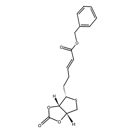 O=C(C=CCC[C@@H]1SC[C@@H]2OC(=O)O[C@@H]21)OCc1ccccc1